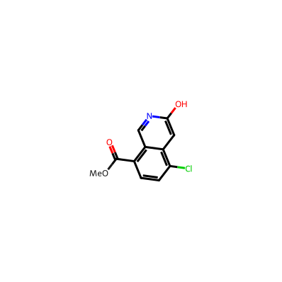 COC(=O)c1ccc(Cl)c2cc(O)ncc12